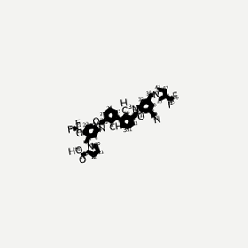 Cc1c(-c2nc3cc(CN4CCC[C@H]4C(=O)O)c(OC(F)F)cc3o2)cccc1-c1cccc(-c2nc3cc(CN4CCC(C(F)F)C4)cc(C#N)c3o2)c1C